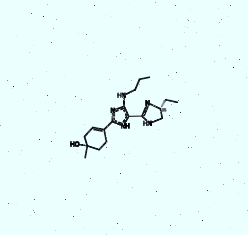 CCCNc1nc(C2=CCC(C)(O)CC2)[nH]c1C1=N[C@H](CC)CN1